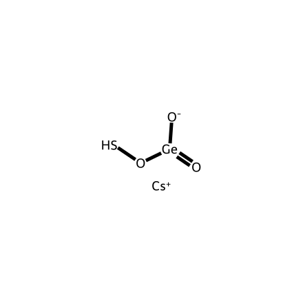 [Cs+].[O]=[Ge]([O-])[O]S